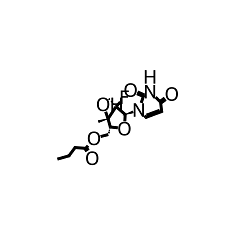 CCCC(=O)OC[C@H]1O[C@H](n2ccc(=O)[nH]c2=O)[C@](C)(F)[C@@]1(C)O